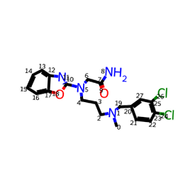 CN(CCCN(CC(N)=O)c1nc2ccccc2o1)Cc1ccc(Cl)c(Cl)c1